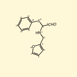 O=CC(NCc1ccco1)Sc1cc[c]cc1